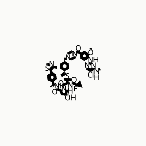 C=C(SC(C)(C)[C@H](NC(=O)C1(F)CC1)C(=O)N1C[C@H](O)CC1C(=O)N[C@@H](C)c1ccc(-c2scnc2C)cc1)[C@H]1CC[C@H](CN2CCN(C(=O)c3ccc(Nc4ncc(Cl)c(NC)n4)c(OC)c3)CC2)CC1